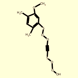 COc1cc(SOOC#CSOOO)c(C)cc1C